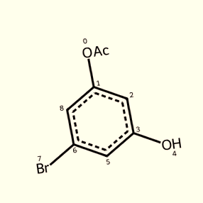 CC(=O)Oc1cc(O)cc(Br)c1